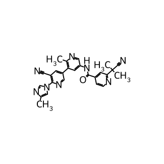 Cc1cn(-c2ncc(-c3cc(NC(=O)c4ccnc(C(C)(C)C#N)c4)cnc3C)cc2C#N)cn1